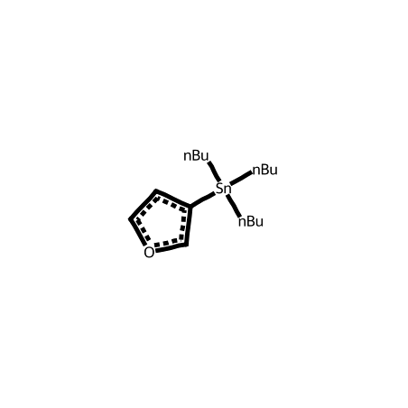 CCC[CH2][Sn]([CH2]CCC)([CH2]CCC)[c]1ccoc1